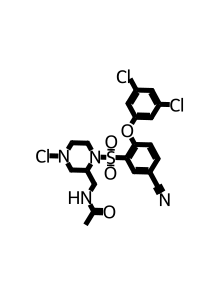 CC(=O)NCC1CN(Cl)CCN1S(=O)(=O)c1cc(C#N)ccc1Oc1cc(Cl)cc(Cl)c1